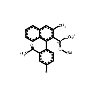 Cc1cc2ccccc2c(-c2ccc(F)cc2C(N)=O)c1[C@H](OC(C)(C)C)C(=O)O